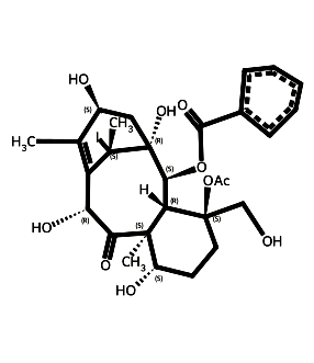 CC(=O)O[C@@]1(CO)CC[C@H](O)[C@@]2(C)C(=O)[C@H](O)C3=C(C)[C@@H](O)C[C@@](O)([C@@H](OC(=O)c4ccccc4)[C@H]12)[C@@]3(C)I